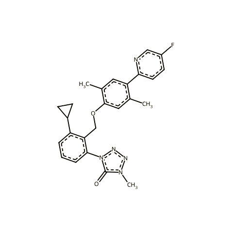 Cc1cc(-c2ccc(F)cn2)c(C)cc1OCc1c(C2CC2)cccc1-n1nnn(C)c1=O